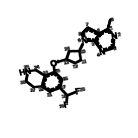 Cc1ncnc2c1ccn2C1CCC(Oc2cc(C(F)F)cc3c2CNCC3)C1